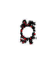 CN[C@@H](C)C(=O)N[C@H](C(=O)N1C[C@@H]2C[C@H]1C(=O)N[C@@H](Cc1ccc3ccccc3c1)C(=O)N[C@H](C(=O)O)Cc1ccc(cc1)OCc1cn(nn1)[C@H]1C[C@@H](C(=O)N[C@@H](Cc3ccc4ccccc4c3)C(=O)N[C@H](c3n[nH]oc3=O)Cc3ccc(cc3)OCc3cn2nn3)N(C(=O)[C@@H](NC(=O)[C@H](C)NC)C(C)(C)C)C1)C(C)(C)C